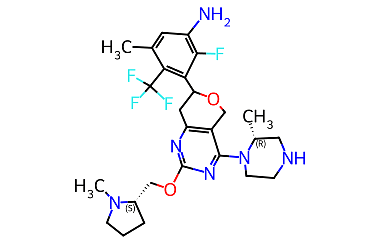 Cc1cc(N)c(F)c(C2Cc3nc(OC[C@@H]4CCCN4C)nc(N4CCNC[C@H]4C)c3CO2)c1C(F)(F)F